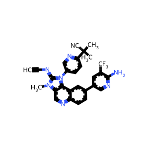 C#C/N=c1\n(C)c2cnc3ccc(-c4cnc(N)c(C(F)(F)F)c4)cc3c2n1-c1ccc(C(C)(C)C#N)nc1